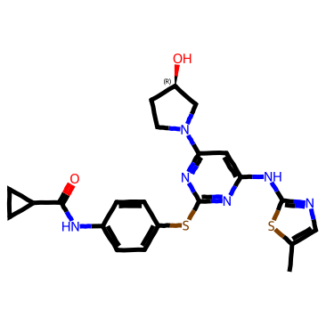 Cc1cnc(Nc2cc(N3CC[C@@H](O)C3)nc(Sc3ccc(NC(=O)C4CC4)cc3)n2)s1